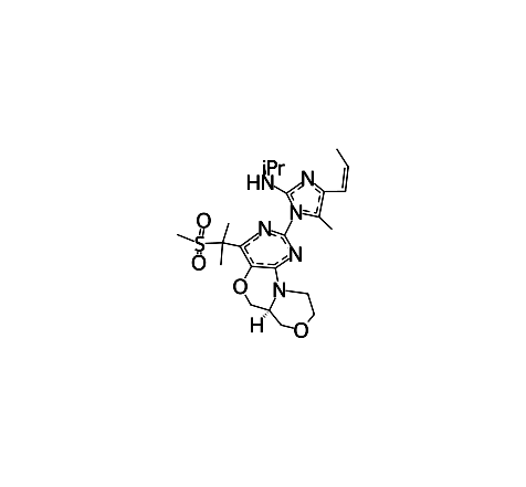 C/C=C\c1nc(NC(C)C)n(-c2nc3c(c(C(C)(C)S(C)(=O)=O)n2)OC[C@@H]2COCCN32)c1C